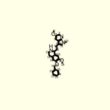 COc1cnc2c(c1)c(/C=C/C1NCCc3cc(OCc4ccccc4)c(OC)cc31)cn2C